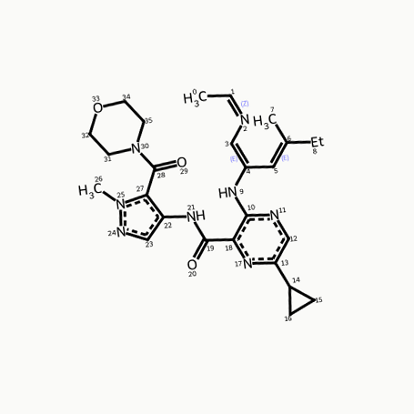 C\C=N/C=C(\C=C(/C)CC)Nc1ncc(C2CC2)nc1C(=O)Nc1cnn(C)c1C(=O)N1CCOCC1